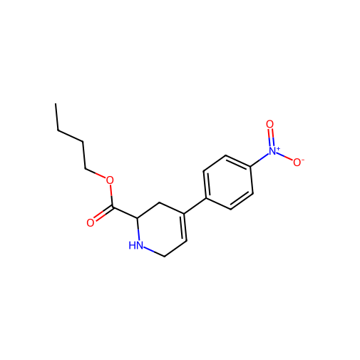 CCCCOC(=O)C1CC(c2ccc([N+](=O)[O-])cc2)=CCN1